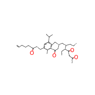 C=CCCCC(=O)CCc1cc(C(C)C)c2c(c1C)C(=O)CC(CC(CCC)C(CC)C(=O)CC(C)=O)C2